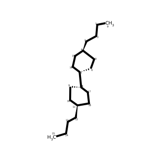 CCCC[C@H]1CC[C@H]([C@H]2CC[C@H](CCCC)CC2)CC1